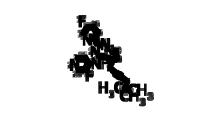 CC(C)(C)CC#CCc1ccn2nc(-c3ccc(F)cn3)nc(Nc3ccncc3F)c12